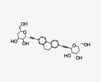 OC[C@@H]1C[C@H](O)[C@H](O)[C@@H](C#Cc2ccc3c(c2)CCc2cc(C#C[C@H]4O[C@H](CO)C[C@H](O)[C@@H]4O)ccc2-3)O1